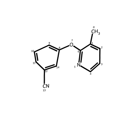 Cc1cccnc1Oc1cccc(C#N)c1